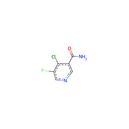 NC(=O)c1cncc(F)c1Cl